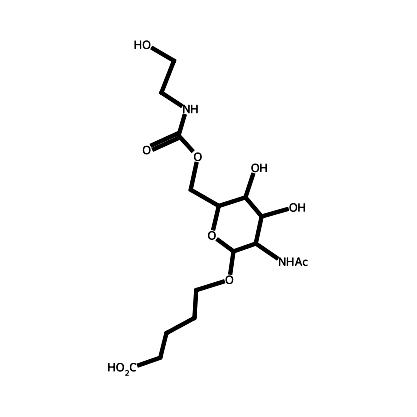 CC(=O)NC1C(OCCCCC(=O)O)OC(COC(=O)NCCO)C(O)C1O